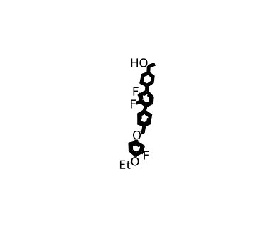 CCOc1ccc(OCc2ccc(-c3ccc(C4CCC(C(C)O)CC4)c(F)c3F)cc2)cc1F